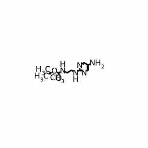 CC(C)(C)OC(=O)NCCNc1ncc(N)cn1